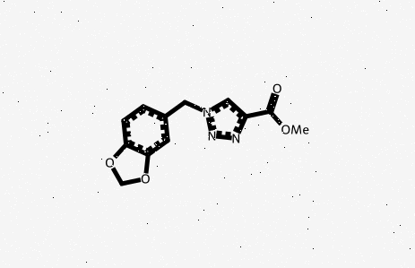 COC(=O)c1cn(Cc2ccc3c(c2)OCO3)nn1